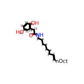 CCCCCCCCC=CCCCCCCCNC(=O)Cc1cc(O)ccc1O